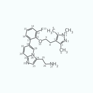 Cc1nn(C)c(C)c1CCOc1c(F)cccc1-c1ccc2ncc(CCN)n2c1